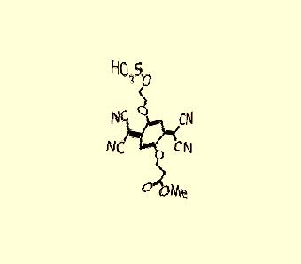 COC(=O)CCOc1cc(=C(C#N)C#N)c(OCCOS(=O)(=O)O)cc1=C(C#N)C#N